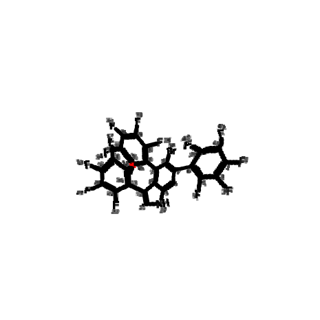 Fc1c(F)c(F)c(-c2cc3[nH][c]c(-c4c(F)c(F)c(F)c(F)c4F)c3c(-c3c(F)c(F)c(F)c(F)c3F)c2Br)c(F)c1F